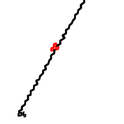 CCCCCCCCCCCCCCCCCCCCCCCCCC(=O)OC(=O)CCCCCCCCCCCCCCCCCCCCC